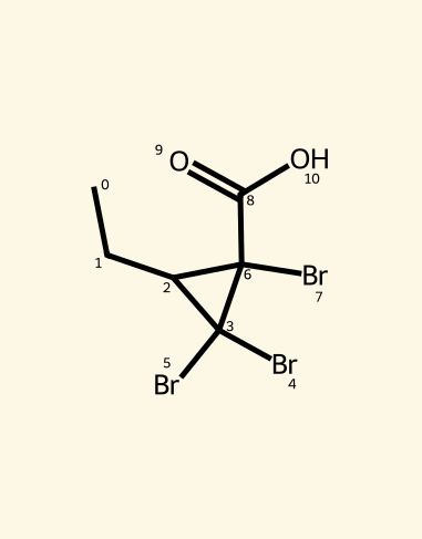 CCC1C(Br)(Br)C1(Br)C(=O)O